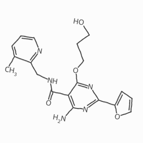 Cc1cccnc1CNC(=O)c1c(N)nc(-c2ccco2)nc1OCCCO